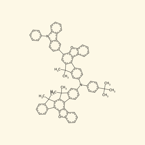 CC(C)(C)c1ccc(N(c2ccc3c(c2)C(C)(C)c2cc(-c4ccc5c(c4)c4ccccc4n5-c4ccccc4)c4oc5ccccc5c4c2-3)c2ccc3c(c2)C(C)(C)c2c4c(c5oc6ccccc6c5c2-3)-c2ccccc2C4(C)C)cc1